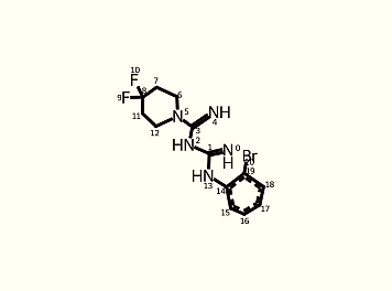 N=C(NC(=N)N1CCC(F)(F)CC1)Nc1ccccc1Br